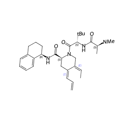 C=C/C=C1/C[C@@H](C(=O)N[C@@H]2CCCc3ccccc32)N(C(=O)[C@@H](NC(=O)[C@H](C)NC)C(C)(C)C)C/C1=C/C